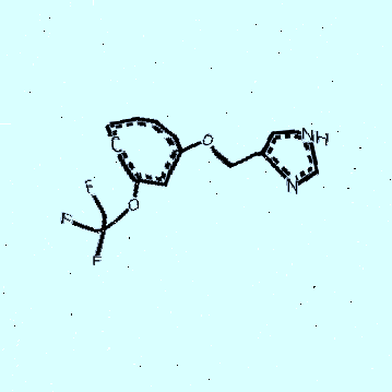 FC(F)(F)Oc1cccc(OCc2c[nH]cn2)c1